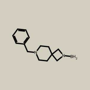 BN1CC2(CCN(Cc3ccccc3)CC2)C1